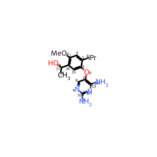 COc1cc(C(C)C)c(Oc2cnc(N)nc2N)cc1C(C)O